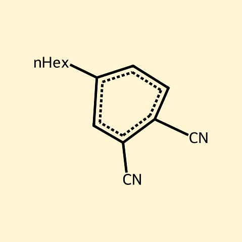 CCCCCCc1ccc(C#N)c(C#N)c1